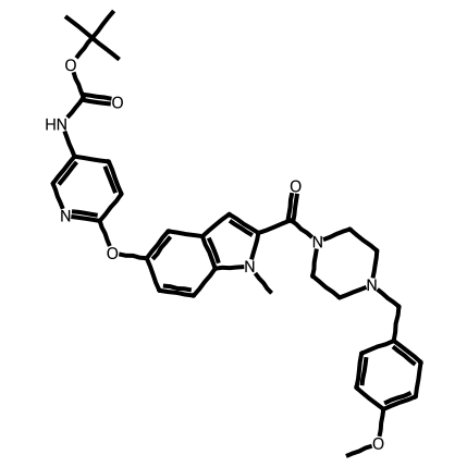 COc1ccc(CN2CCN(C(=O)c3cc4cc(Oc5ccc(NC(=O)OC(C)(C)C)cn5)ccc4n3C)CC2)cc1